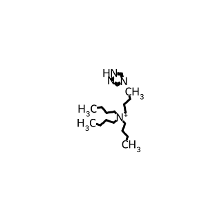 CCCC[N+](CCCC)(CCCC)CCCC.c1nc[nH]n1